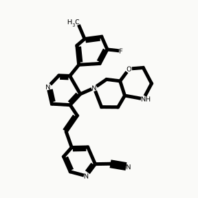 Cc1cc(F)cc(-c2cncc(C=Cc3ccnc(C#N)c3)c2N2CCC3NCCOC3C2)c1